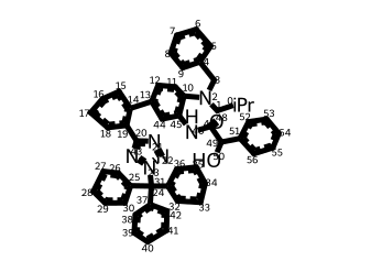 CC(C)CN(Cc1ccccc1)c1ccc(-c2ccccc2-c2nnn(C(c3ccccc3)(c3ccccc3)c3ccccc3)n2)cc1NC(=O)C(O)c1ccccc1